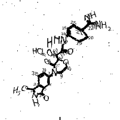 CC1NC(=O)c2cc(N3CCO[C@H]([C@@H](O)C(=O)Nc4ccc(C(=N)N)cc4)C3=O)ccc21.Cl